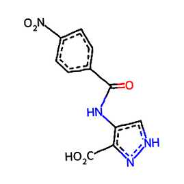 O=C(Nc1c[nH]nc1C(=O)O)c1ccc([N+](=O)[O-])cc1